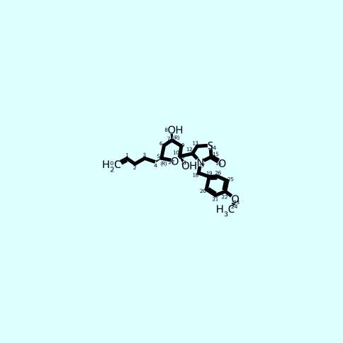 C=CCCC[C@@H]1C[C@@H](O)C[C@](O)(C2CSC(=O)N2Cc2ccc(OC)cc2)O1